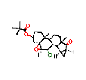 CC(C)(C)C(=O)O[C@H]1CC[C@]2(C)C3CC[C@]4(C)C(=O)[C@H]5C[C@H]5C4C3[C@H](Cl)[C@H]3O[C@]32C1